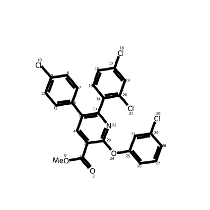 COC(=O)c1cc(-c2ccc(Cl)cc2)c(-c2ccc(Cl)cc2Cl)nc1Oc1cccc(Cl)c1